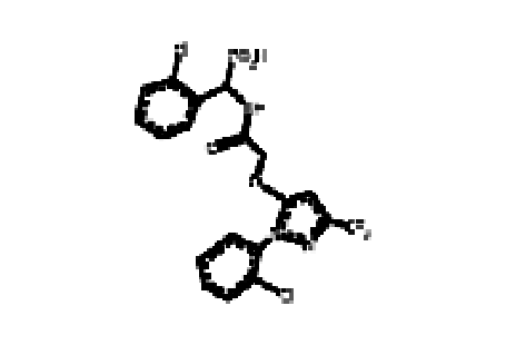 O=C(COc1cc(C(F)(F)F)nn1-c1ccccc1Cl)NC(C(=O)O)c1ccccc1Cl